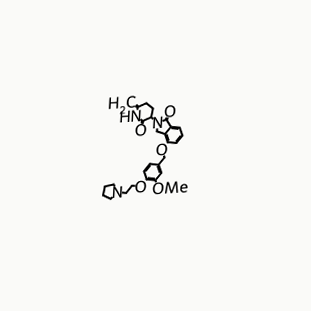 C=C1CCC(N2Cc3c(OCc4ccc(OCCN5CCCC5)c(OC)c4)cccc3C2=O)C(=O)N1